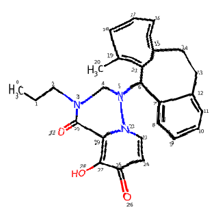 CCCN1CN(C2c3ccccc3CCc3cccc(C)c32)n2ccc(=O)c(O)c2C1=O